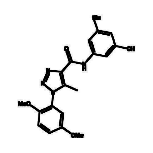 COc1ccc(OC)c(-n2nnc(C(=O)Nc3cc(O)cc(C(C)(C)C)c3)c2C)c1